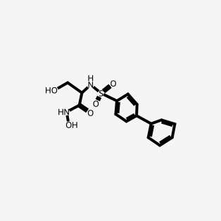 O=C(NO)C(CO)NS(=O)(=O)c1ccc(-c2ccccc2)cc1